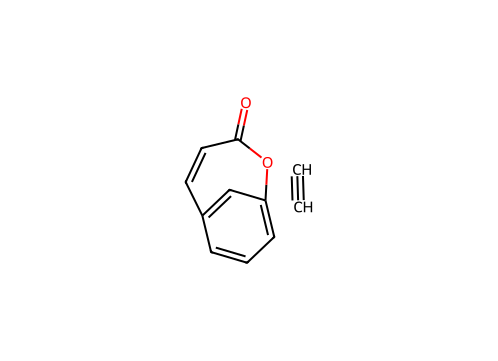 C#C.O=C1C=Cc2cccc(c2)O1